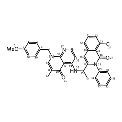 COc1ccc(Cn2cc(C)c(=O)c3c(NC(C)c4cc5cccc(Cl)c5c(=O)n4-c4ccccc4)ncnc32)cc1